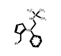 CC(C)CC1=C([SiH](CN[Si](C)(C)C)c2ccccc2)CC=C1